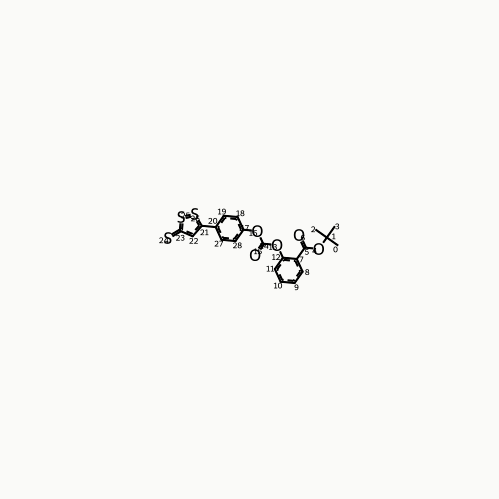 CC(C)(C)OC(=O)c1ccccc1OC(=O)Oc1ccc(-c2cc(=S)ss2)cc1